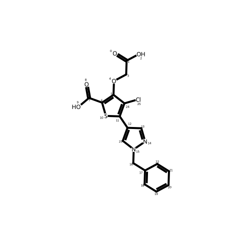 O=C(O)COc1c(C(=O)O)sc(-c2cnn(Cc3ccccc3)c2)c1Cl